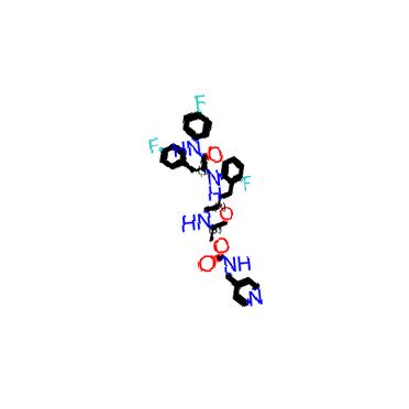 O=C(NCc1ccncc1)OC[C@@H]1CO[C@H](CCc2c(F)cccc2N[C@@H](Cc2ccc(F)cc2)C(=O)Nc2ccc(F)cc2)CN1